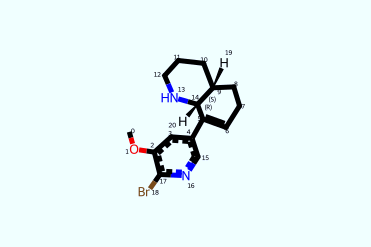 COc1cc(C2=CCC[C@H]3CCCN[C@@H]23)cnc1Br